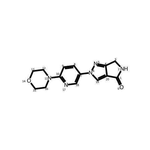 O=C1NCc2nn(-c3ccc(N4CCOCC4)nc3)cc21